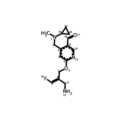 CN(Cc1cc(OC/C(=C\F)CN)ncc1C=O)C1CC1